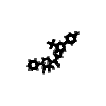 CC(C)(C)c1cc(-c2ccc(Cl)cc2)nc2cc(C(=O)N3CCN(c4cccnc4)C(=O)C3(C)C)oc12